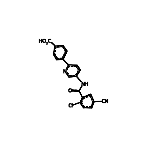 N#Cc1ccc(Cl)c(C(=O)Nc2ccc(-c3ccc(C(=O)O)cc3)nc2)c1